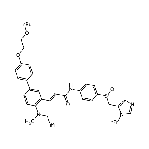 CCCCOCCOc1ccc(-c2ccc(N(C)CC(C)C)c(C=CC(=O)Nc3ccc([S+]([O-])Cc4cncn4CCC)cc3)c2)cc1